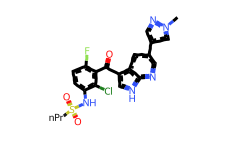 CCCS(=O)(=O)Nc1ccc(F)c(C(=O)c2c[nH]c3ncc(-c4cnn(C)c4)cc23)c1Cl